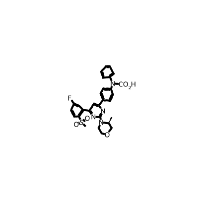 C[C@H]1COCCN1c1nc(-c2ccc(N(C(=O)O)c3ccccc3)cc2)cc(-c2cc(F)ccc2S(C)(=O)=O)n1